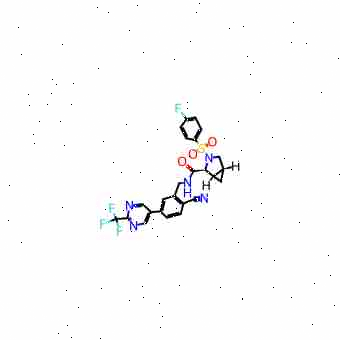 N#Cc1ccc(-c2cnc(C(F)(F)F)nc2)cc1CNC(=O)[C@@H]1[C@H]2C[C@H]2CN1S(=O)(=O)c1ccc(F)cc1